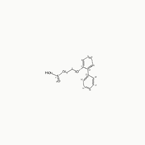 O=S(O)OCCOc1ccccc1-c1ccccc1